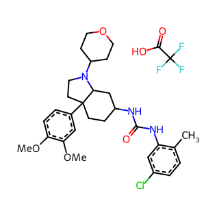 COc1ccc(C23CCC(NC(=O)Nc4cc(Cl)ccc4C)CC2N(C2CCOCC2)CC3)cc1OC.O=C(O)C(F)(F)F